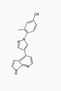 Cc1cc(C#N)ccc1-n1cc(-c2ccnc3[nH]ccc23)cn1